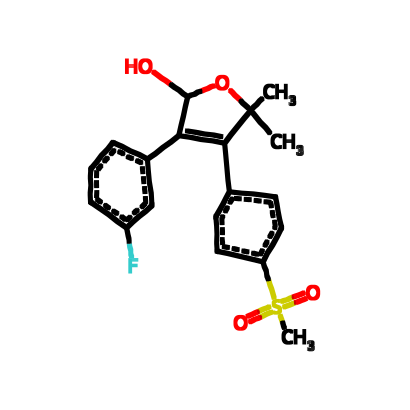 CC1(C)OC(O)C(c2cccc(F)c2)=C1c1ccc(S(C)(=O)=O)cc1